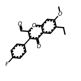 CCc1cc2c(=O)c(-c3ccc(F)cc3)c(C=O)oc2cc1OC